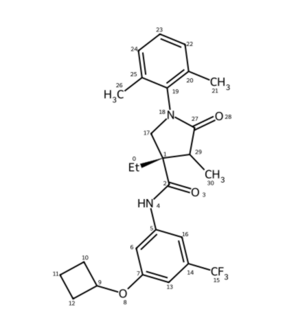 CC[C@@]1(C(=O)Nc2cc(OC3CCC3)cc(C(F)(F)F)c2)CN(c2c(C)cccc2C)C(=O)C1C